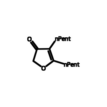 CCCCCC1=C(CCCCC)C(=O)CO1